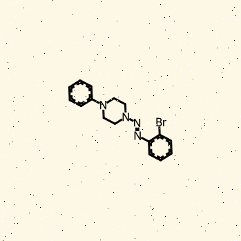 Brc1ccccc1/N=N/N1CCN(c2ccccc2)CC1